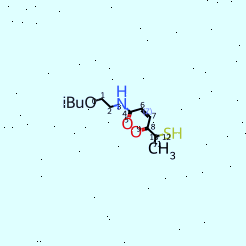 CC(C)COCCNC(=O)/C=C\C(=O)C(C)S